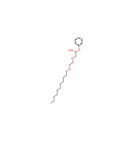 CCCCCCCCCCCOCCOCC(O)Oc1ccccc1